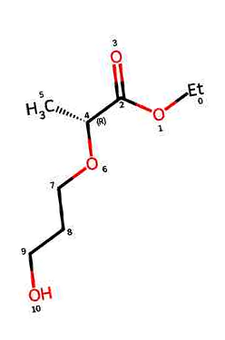 CCOC(=O)[C@@H](C)OCCCO